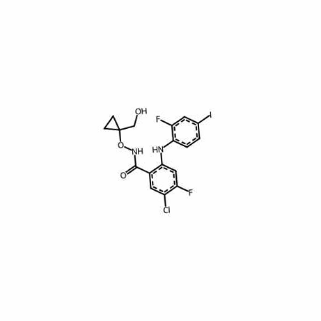 O=C(NOC1(CO)CC1)c1cc(Cl)c(F)cc1Nc1ccc(I)cc1F